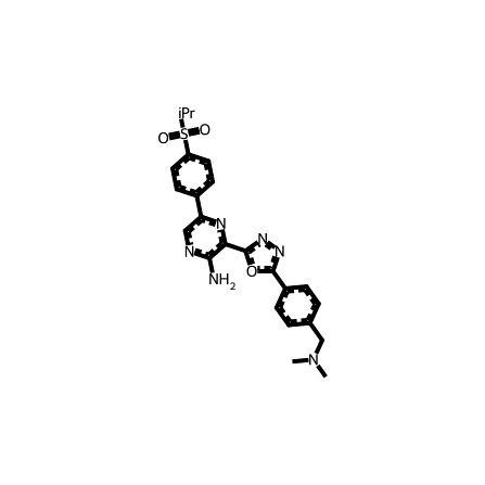 CC(C)S(=O)(=O)c1ccc(-c2cnc(N)c(-c3nnc(-c4ccc(CN(C)C)cc4)o3)n2)cc1